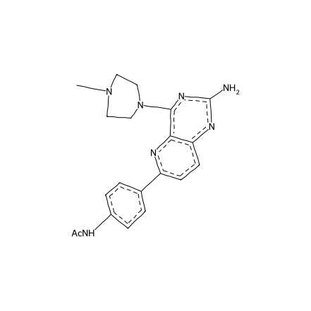 CC(=O)Nc1ccc(-c2ccc3nc(N)nc(N4CCN(C)CC4)c3n2)cc1